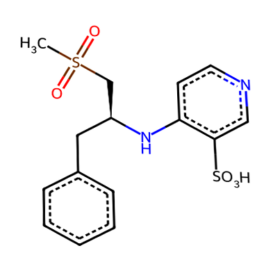 CS(=O)(=O)C[C@H](Cc1ccccc1)Nc1ccncc1S(=O)(=O)O